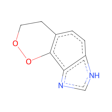 c1nc2c3c(ccc2[nH]1)CCOO3